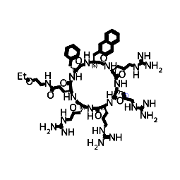 CCOCCNC(=O)CC[C@@H]1NC(=O)[C@@H](CCCNC(=N)N)NC(=O)[C@H](CCCNC(=N)N)NC(=O)[C@@H](/C=C/CNC(=N)N)NC(=O)[C@H](CCCNC(=N)N)NC(=O)[C@H](Cc2ccc3ccccc3c2)NC(=O)[C@@H](Cc2ccccc2)NC1=O